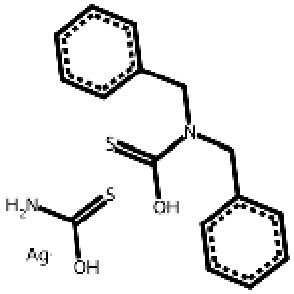 NC(O)=S.OC(=S)N(Cc1ccccc1)Cc1ccccc1.[Ag]